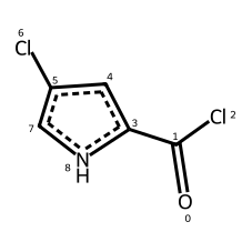 O=C(Cl)c1cc(Cl)c[nH]1